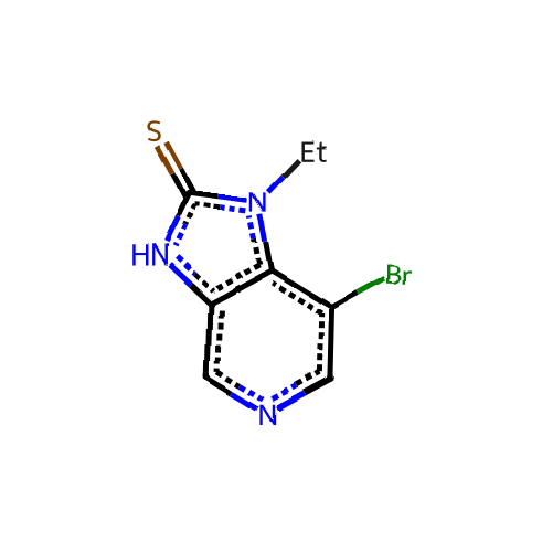 CCn1c(=S)[nH]c2cncc(Br)c21